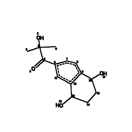 CC(C)(O)C(=O)c1ccc2c(c1)C(O)CCC2O